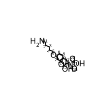 NCCCCCOc1ccc(CC(C(=O)O)N(C=O)C(=O)O)cc1